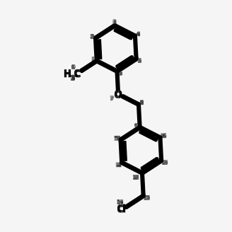 Cc1ccccc1OCc1ccc(CCl)cc1